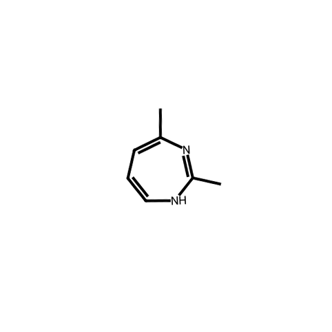 CC1=CC=CNC(C)=N1